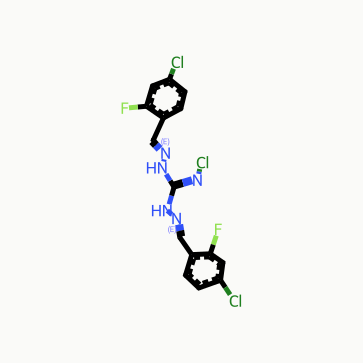 Fc1cc(Cl)ccc1/C=N/NC(=NCl)N/N=C/c1ccc(Cl)cc1F